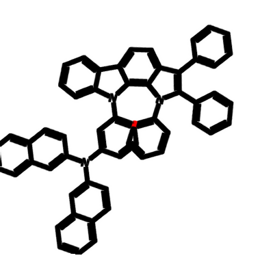 c1ccc(-c2c(-c3ccccc3)n(-c3ccccc3)c3c2ccc2c4ccccc4n(-c4cccc(N(c5ccc6ccccc6c5)c5ccc6ccccc6c5)c4)c23)cc1